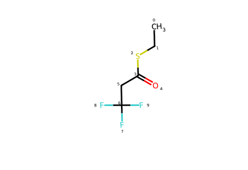 CCSC(=O)CC(F)(F)F